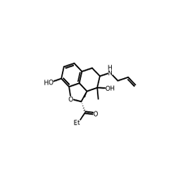 C=CCNC1Cc2ccc(O)c3c2[C@@](C)([C@H](C(=O)CC)O3)C1(C)O